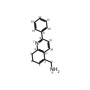 NCC1=CCCc2nc(-c3ccccc3)ccc21